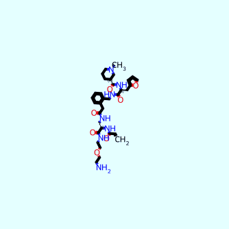 C=CC(=O)N[C@@H](CNC(=O)Cc1ccccc1CNC(=O)[C@H](Cc1ccco1)NC(=O)[C@@H]1CCCN(C)C1)C(=O)NCCOCCN